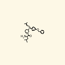 CC(C)=CCN(c1ccc(OCc2ccccc2)cc1)C1CCCN(C(=O)C(N)CC(C)C)C1